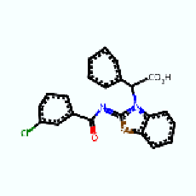 O=C(/N=c1\sc2ccccc2n1C(C(=O)O)c1ccccc1)c1cccc(Cl)c1